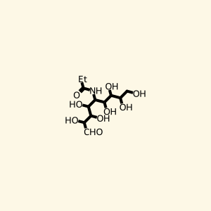 CCC(=O)NC(C(O)C(O)C(O)C=O)C(O)C(O)C(O)CO